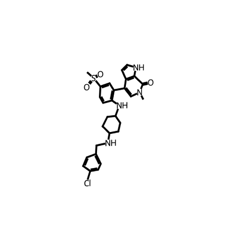 Cn1cc(-c2cc(S(C)(=O)=O)ccc2NC2CCC(NCc3ccc(Cl)cc3)CC2)c2cc[nH]c2c1=O